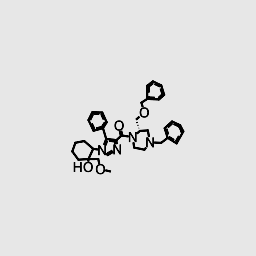 COCC1(O)CCCCC1n1cnc(C(=O)N2CCN(Cc3ccccc3)C[C@H]2COCc2ccccc2)c1-c1ccccc1